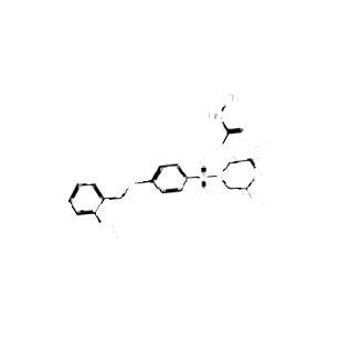 Cc1ccccc1COc1ccc(S(=O)(=O)N2C[C@H](C)O[C@@H](C)[C@H]2OC(=O)NO)cc1